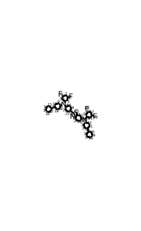 Fc1cc(F)cc(N(c2ccc(-c3ccccc3)cc2)c2ccc(-c3nc4ccc(N(c5ccc(-c6ccccc6)cc5)c5cc(F)cc(F)c5)cc4s3)cc2)c1